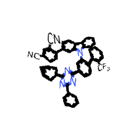 N#Cc1ccc(-c2ccc3c4ccccc4n(-c4cc(-c5nc(-c6ccccc6)nc(-c6ccccc6)n5)ccc4-c4ccccc4C(F)(F)F)c3c2)c(C#N)c1